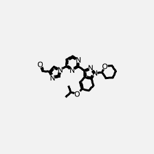 CC(C)OC1=Cc2c(-c3nccc(-n4cnc(C=O)c4)n3)nn(C3CCCCO3)c2CC1